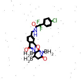 BC1CC(=O)N(B)C(=O)[C@@]1(B)N1Cc2cc(CNC(=O)C(F)(F)c3ccc(Cl)cc3)ccc2C1=O